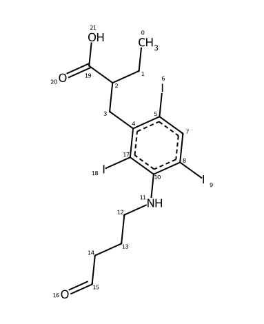 CCC(Cc1c(I)cc(I)c(NCCCC=O)c1I)C(=O)O